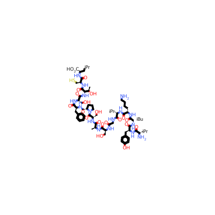 CC[C@H](C)[C@H](NC(=O)[C@H](Cc1ccc(O)cc1)NC(=O)[C@@H](N)C(C)C)C(=O)N[C@@H](CCCCN)C(=O)N[C@H](C(=O)NCC(=O)N[C@@H](CO)C(=O)N[C@@H](C)C(=O)N[C@@H](CO)C(=O)N1CCC[C@H]1C(=O)N[C@@H](Cc1ccccc1)C(=O)N[C@@H](CO)C(=O)N[C@H](C(=O)N[C@@H](CS)C(=O)N[C@@H](CC(C)C)C(=O)O)[C@@H](C)O)C(C)C